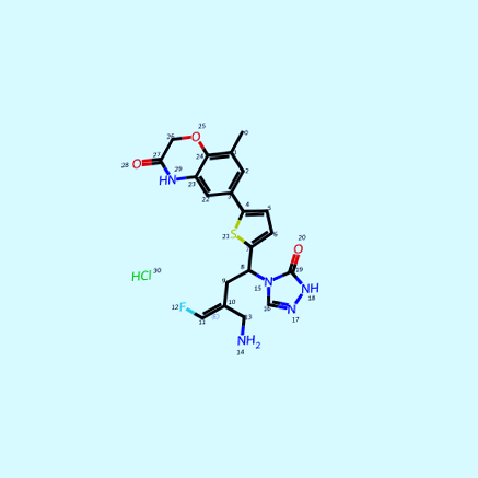 Cc1cc(-c2ccc(C(C/C(=C\F)CN)n3cn[nH]c3=O)s2)cc2c1OCC(=O)N2.Cl